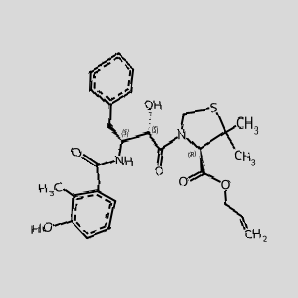 C=CCOC(=O)[C@H]1N(C(=O)[C@@H](O)[C@H](Cc2ccccc2)NC(=O)c2cccc(O)c2C)CSC1(C)C